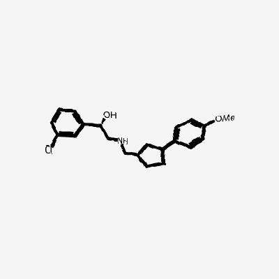 COc1ccc(C2CCC(CNC[C@H](O)c3cccc(Cl)c3)C2)cc1